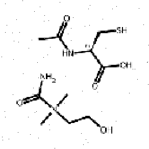 CC(=O)N[C@@H](CS)C(=O)O.C[N+](C)(CCO)C(N)=O